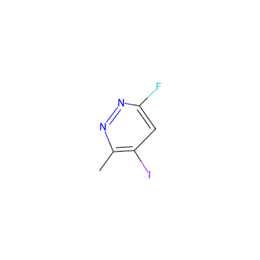 Cc1nnc(F)cc1I